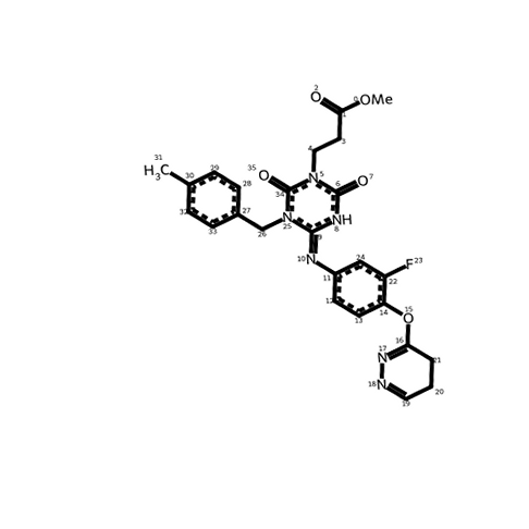 COC(=O)CCn1c(=O)[nH]/c(=N\c2ccc(OC3=NN=CCC3)c(F)c2)n(Cc2ccc(C)cc2)c1=O